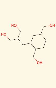 OCC(CO)CC1CC(CO)CCC1CO